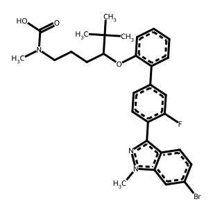 CN(CCCC(Oc1ccccc1-c1ccc(-c2nn(C)c3cc(Br)ccc23)c(F)c1)C(C)(C)C)C(=O)O